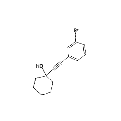 OC1(C#Cc2cccc(Br)c2)CCCCC1